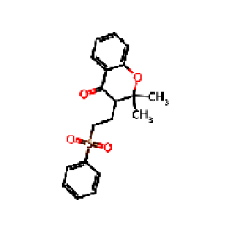 CC1(C)Oc2ccccc2C(=O)C1CCS(=O)(=O)c1ccccc1